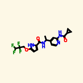 CC(NC(=O)c1ccc(OCC(F)(F)C(F)F)[nH]1)c1ccnc(NC(=O)C2CC2)c1